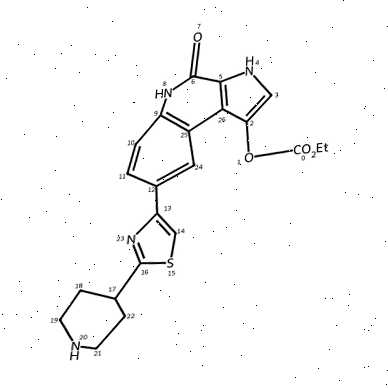 CCOC(=O)Oc1c[nH]c2c(=O)[nH]c3ccc(-c4csc(C5CCNCC5)n4)cc3c12